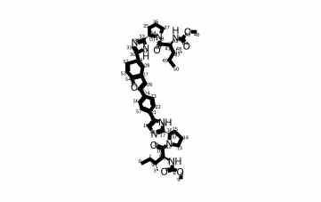 CC[C@@H](C)[C@H](NC(=O)OC)C(=O)N1CCC[C@H]1c1ncc(-c2ccc(-c3cc4cc(-c5cnc([C@@H]6CCCN6C(=O)[C@@H](NC(=O)OC)[C@H](C)CC)[nH]5)ccc4o3)cc2)[nH]1